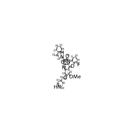 COc1cc2c(Oc3c(F)cccc3NC(=O)C(=O)NCC(C)c3ccccc3)ccnc2cc1OCC1CCNCC1